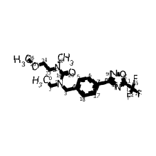 CCN(Cc1ccc(-c2noc(C(F)(F)F)n2)cc1)C(=O)N(C)CCOC